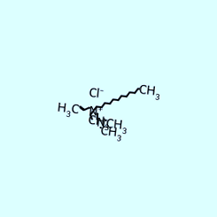 CC=CC[N+](CC)(CCCCCCCCCCCC)CCN(CC)CC.[Cl-]